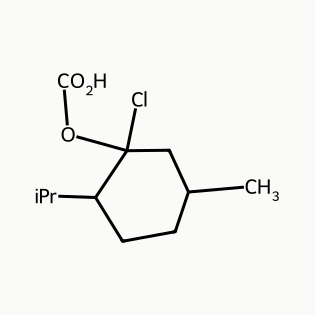 CC1CCC(C(C)C)C(Cl)(OC(=O)O)C1